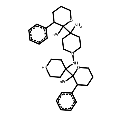 CCCC1(C2(N)CCN(NC3(C4(CCC)OCCCC4c4ccccc4)CCNCC3)CC2)OCCCC1c1ccccc1